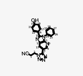 N#CCCn1nnnc1-c1cnc2c(c1)nc(-c1ccc(O)cc1)n2-c1ccccc1